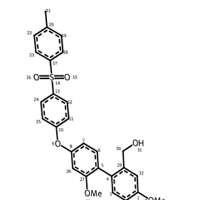 COc1ccc(-c2ccc(Oc3ccc(S(=O)(=O)c4ccc(C)cc4)cc3)cc2OC)c(CO)c1